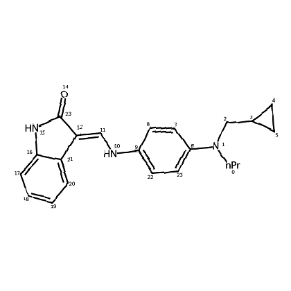 CCCN(CC1CC1)c1ccc(N/C=C2/C(=O)Nc3ccccc32)cc1